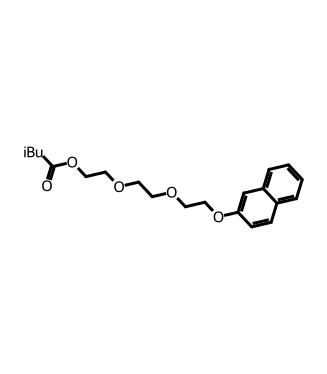 CCC(C)C(=O)OCCOCCOCCOc1ccc2ccccc2c1